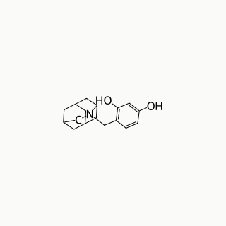 Oc1ccc(CN2CC3CC4CC(C3)CC2C4)c(O)c1